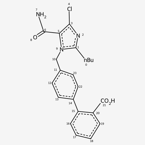 CCCCc1nc(Cl)c(C(N)=O)n1Cc1ccc(-c2ccccc2C(=O)O)cc1